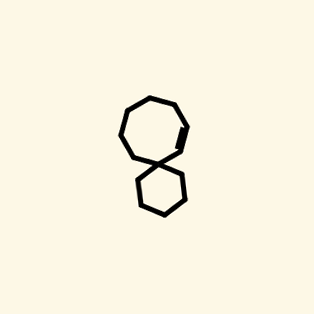 C1=CC2(CCCCC1)CCCCC2